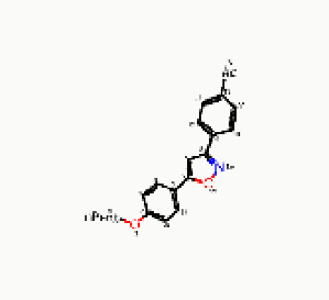 CCCCCOc1ccc(-c2cc(-c3ccc(C(C)=O)cc3)no2)cc1